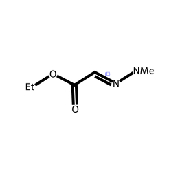 CCOC(=O)/C=N/NC